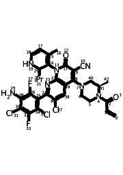 C=CC(=O)N1CCN(c2c(C#N)c(=O)n(C3=C(C)C=CNC3C(C)C)c3nc(-c4c(F)c(N)c(Cl)c(F)c4Cl)c(Cl)cc23)C[C@H]1C